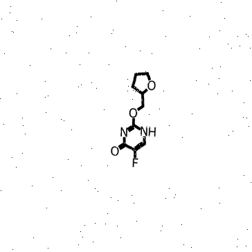 O=c1nc(OCC2CCCO2)[nH]cc1F